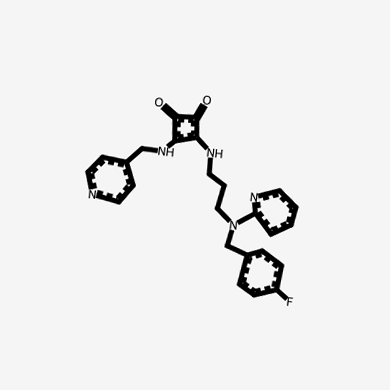 O=c1c(NCCCN(Cc2ccc(F)cc2)c2ccccn2)c(NCc2ccncc2)c1=O